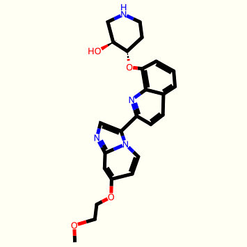 COCCOc1ccn2c(-c3ccc4cccc(O[C@H]5CCNC[C@@H]5O)c4n3)cnc2c1